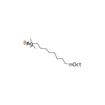 CCCCCCCCCCCCCCC[CH2][Ag]([CH3])([CH3])([CH3])[Br]